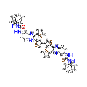 O=C(Nc1ccc2nc(-c3cc(-c4csc(-c5nc6ccc(NC(=S)NC78CC9CC(CC(C9)C7)C8)cc6nc5-c5cccs5)c4)cs3)c(-c3cccs3)nc2c1)NC12CC3CC(CC(C3)C1)C2